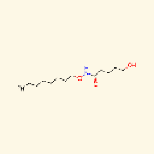 [3H]CCCCCCCONC(=O)CCCCO